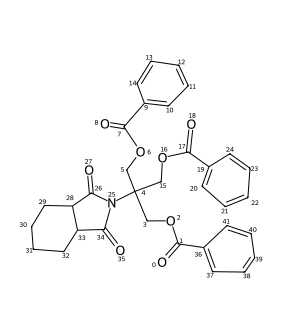 O=C(OCC(COC(=O)c1ccccc1)(COC(=O)c1ccccc1)N1C(=O)C2CCCCC2C1=O)c1ccccc1